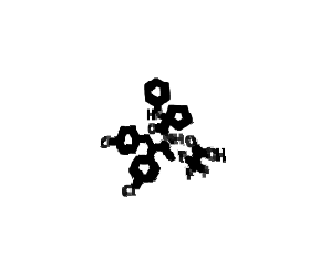 CC(NC(=O)C1(Nc2ccccc2)CCCC1)C(Cc1ccc(Cl)cc1)c1ccc(Cl)cc1.O=C(O)C(F)(F)F